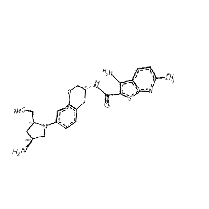 COC[C@@H]1C[C@H](N)CN1c1ccc2c(c1)OC[C@H](NC(=O)c1sc3nc(C)ccc3c1N)C2